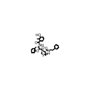 Cc1c(O)cccc1C(=O)N[C@@H](Cc1ccccc1)[C@H](O)C(=O)N1CSC(C)(C)[C@H]1C(=O)NCCc1ccccc1